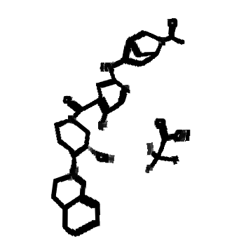 CC(=O)N1CC2CC1CC2Nc1cc(C(=O)N2CC[C@H](N3CCc4ccccc4C3)[C@@H](O)C2)c(F)cn1.O=C(O)C(F)(F)F